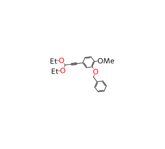 CCOC(C#Cc1ccc(OC)c(OCc2ccccc2)c1)OCC